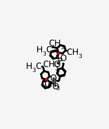 CC(C)C1CCC(C)C(OP(=O)(Cc2ccc(CP(=O)(OC3CC(C(C)C)CCC3C)c3ccccc3)cc2)c2ccccc2)C1